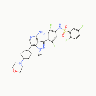 CC(C)n1nc(-c2cc(F)c(NS(=O)(=O)c3cc(F)ccc3F)cc2F)c2c(N)ncc(C3CCC(N4CCOCC4)CC3)c21